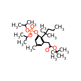 CCCC(C)(C)c1c(CC(=O)OC(C)(C)C)cc(C)cc1OP(=O)(OC(C)C)OC(C)C